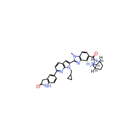 Cn1c(-c2cc3ccc(-c4ccc5c(c4)CC(=O)N5)nc3n2CC2CC2)nc2cc(C(=O)N3C[C@H]4CC[C@@H]3[C@@H]4N)ccc21